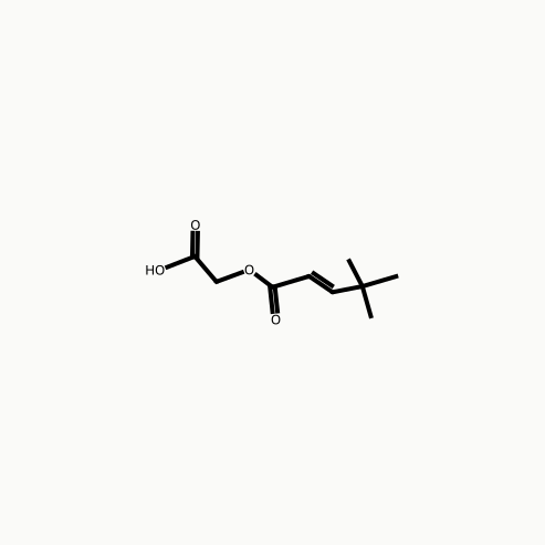 CC(C)(C)C=CC(=O)OCC(=O)O